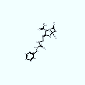 O=C(NC/C=C1\O[C@H]2CC(=O)N2[C@@H]1C(=O)O)OCc1ccccc1